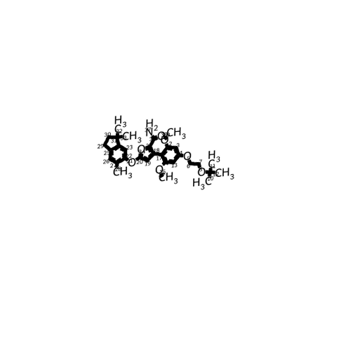 COc1cc(OCCOC(C)(C)C)cc(OC)c1-c1cc(Oc2cc3c(cc2C)CCC3(C)C)oc1C(N)=O